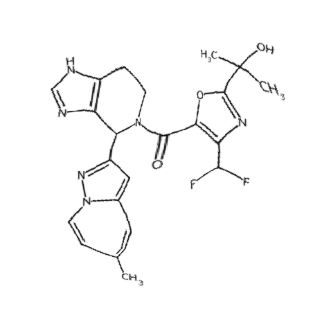 Cc1ccn2nc(C3c4nc[nH]c4CCN3C(=O)c3oc(C(C)(C)O)nc3C(F)F)cc2c1